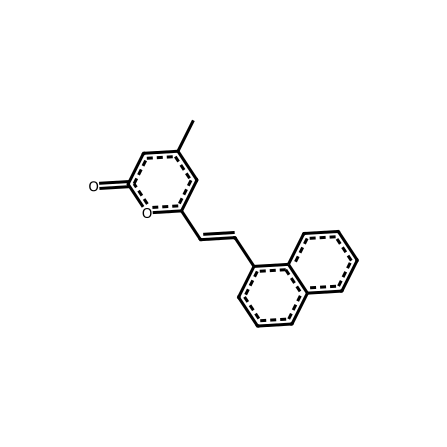 Cc1cc(C=Cc2cccc3ccccc23)oc(=O)c1